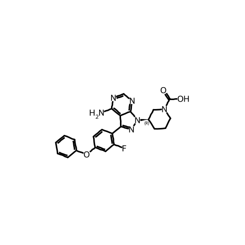 Nc1ncnc2c1c(-c1ccc(Oc3ccccc3)cc1F)nn2[C@@H]1CCCN(C(=O)O)C1